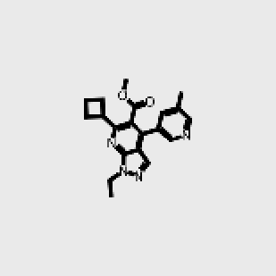 CCn1ncc2c(-c3cncc(C)c3)c(C(=O)OC)c(C3CCC3)nc21